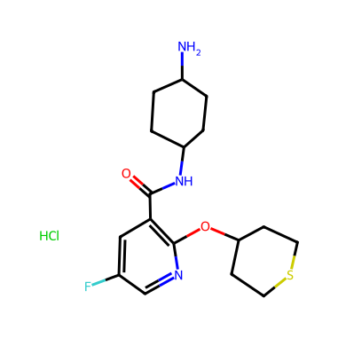 Cl.NC1CCC(NC(=O)c2cc(F)cnc2OC2CCSCC2)CC1